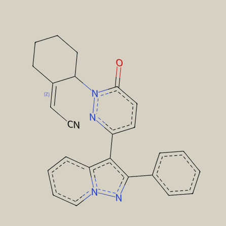 N#C/C=C1/CCCCC1n1nc(-c2c(-c3ccccc3)nn3ccccc23)ccc1=O